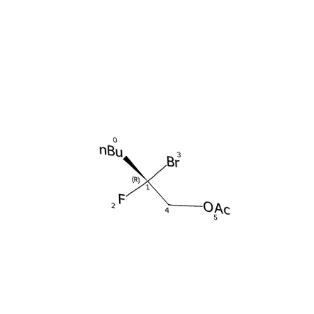 CCCC[C@@](F)(Br)COC(C)=O